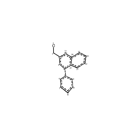 ClCc1cc(-c2ccccc2)c2ccccc2n1